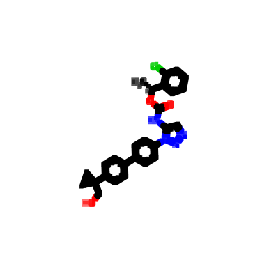 C[C@@H](OC(=O)Nc1cnnn1-c1ccc(-c2ccc(C3(CO)CC3)cc2)cc1)c1ccccc1Cl